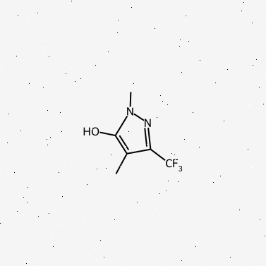 Cc1c(C(F)(F)F)nn(C)c1O